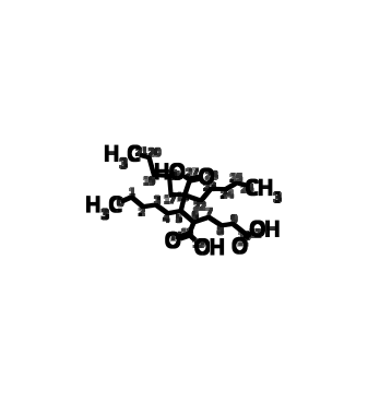 CCCCCC(C(CCCC(=O)O)C(=O)O)C(CCCCC)(CCCCC)C(=O)O